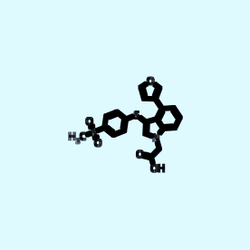 CS(=O)(=O)c1ccc(Sc2cn(CC(=O)O)c3cccc(-c4ccoc4)c23)cc1